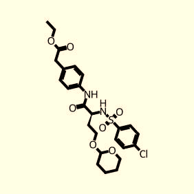 CCOC(=O)Cc1ccc(NC(=O)[C@H](CCOC2CCCCO2)NS(=O)(=O)c2ccc(Cl)cc2)cc1